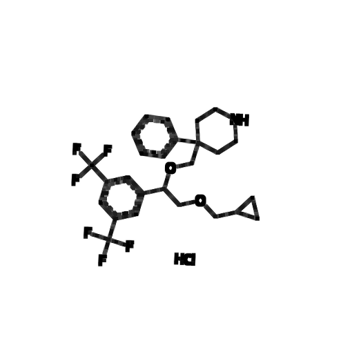 Cl.FC(F)(F)c1cc(C(COCC2CC2)OCC2(c3ccccc3)CCNCC2)cc(C(F)(F)F)c1